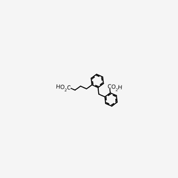 O=C(O)CCCc1ccccc1Cc1ccccc1C(=O)O